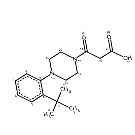 CC(C)(C)c1ccccc1N1CCN(C(=O)CC(=O)O)CC1